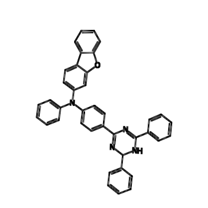 c1ccc(C2=NC(c3ccc(N(c4ccccc4)c4ccc5c(c4)oc4ccccc45)cc3)=NC(c3ccccc3)N2)cc1